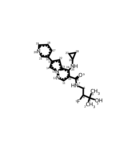 CC(C)(O)C(F)CNC(=O)c1cnn2cc(-c3cccnc3)cc2c1NC1CC1